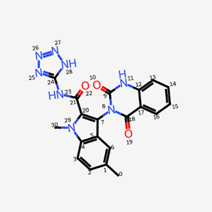 Cc1ccc2c(c1)c(-n1c(=O)[nH]c3ccccc3c1=O)c(C(=O)Nc1nnn[nH]1)n2C